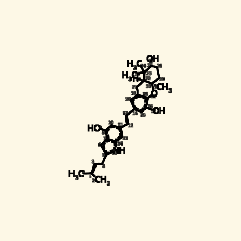 CC(C)=CCc1cc2c(O)cc(/C=C/c3cc(O)c4c(c3)C[C@@H]3C(C)(C)[C@H](O)CC[C@@]3(C)O4)cc2[nH]1